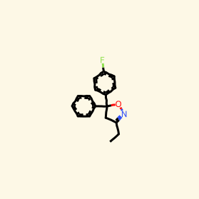 CCC1=NOC(c2ccccc2)(c2ccc(F)cc2)C1